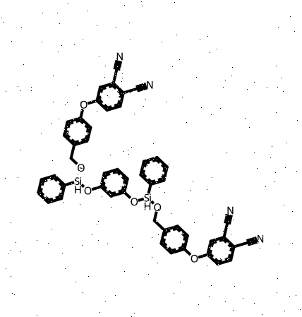 N#Cc1ccc(Oc2ccc(CO[SiH](Oc3cccc(O[SiH](OCc4ccc(Oc5ccc(C#N)c(C#N)c5)cc4)c4ccccc4)c3)c3ccccc3)cc2)cc1C#N